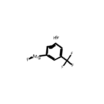 Br.[F][Mg][c]1cccc(C(F)(F)F)c1